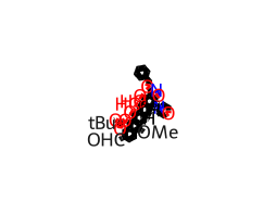 COc1c2c(c(OC(=O)OC(C)(C)C)c3cc(C=O)ccc13)C(=O)C1=C(O)[C@]3(O)C(=O)c4c(OCc5ccccc5)noc4[C@@H](N4CCOCC4)[C@@H]3C[C@@H]1C2